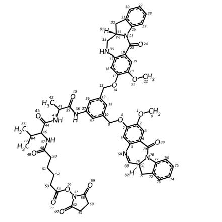 COc1cc2c(cc1OCc1cc(COc3cc4c(cc3OC)C(=O)N3c5ccccc5C[C@H]3CN4)cc(NC(=O)C(C)NC(=O)C(NC(=O)CCCCC(=O)ON3C(=O)CCC3=O)C(C)C)c1)N=C[C@@H]1Cc3ccccc3N1C2=O